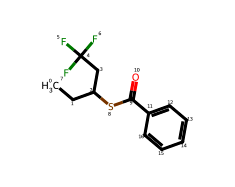 CCC(CC(F)(F)F)SC(=O)c1ccccc1